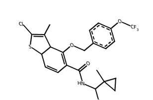 CC1=C(Cl)SC2C=CC(C(=O)NC(C(=O)O)C3(C)CC3)=C(OCc3ccc(OC(F)(F)F)cc3)C12